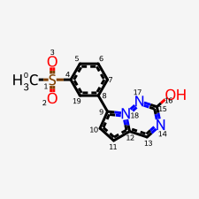 CS(=O)(=O)c1cccc(-c2ccc3cnc(O)nn23)c1